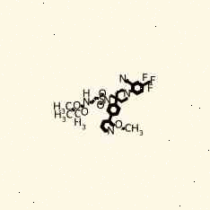 CCOc1ncccc1-c1ccc2c(c1)N(S(=O)(=O)CCNC(=O)OC(C)(C)C)CC21CCN(c2ccc(C(F)(F)F)cc2C#N)CC1